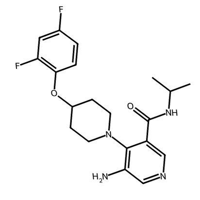 CC(C)NC(=O)c1cncc(N)c1N1CCC(Oc2ccc(F)cc2F)CC1